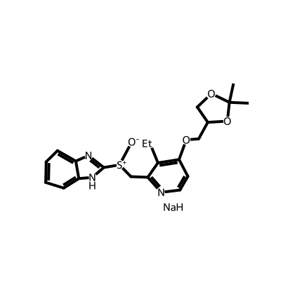 CCc1c(OCC2COC(C)(C)O2)ccnc1C[S+]([O-])c1nc2ccccc2[nH]1.[NaH]